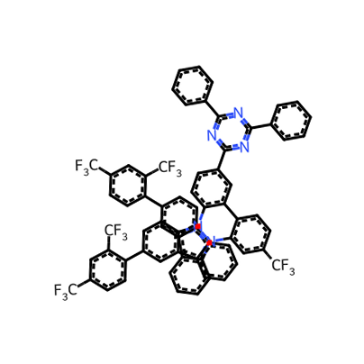 FC(F)(F)c1ccc(-c2cc(-c3nc(-c4ccccc4)nc(-c4ccccc4)n3)ccc2-n2c3ccccc3c3cc(-c4ccc(C(F)(F)F)cc4C(F)(F)F)ccc32)c(-n2c3ccccc3c3cc(-c4ccc(C(F)(F)F)cc4C(F)(F)F)ccc32)c1